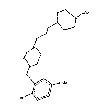 COc1ccc(Br)c(CC2CCN(CCCC3CCN(C(C)=O)CC3)CC2)c1